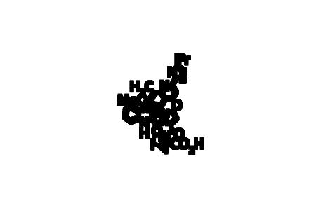 COc1ccc2c(O[C@@H]3C[C@@H](C(=O)N[C@]4(C(=O)O)C[C@H]4I)N(C(=O)[C@@H](Nc4ccccc4N=O)C(C)(C)C)C3)cc(-c3nc(C(C)C)cs3)nc2c1C